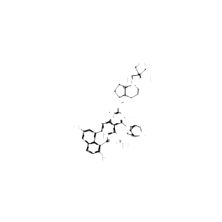 C#Cc1c(F)ccc2cc(O)cc(-c3nc(OC)c4c(N5C[C@H]6C[C@@H]5CO6)nc(OC[C@]56CCC[C@H]5N(CC5(C)COC5)CCC6)nc4c3F)c12